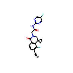 C#Cc1ccc2c(c1F)C1(CC1)CN(CC(=O)Nc1ncc(F)cn1)C2=O